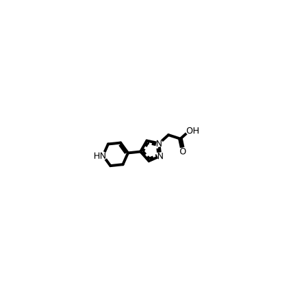 O=C(O)Cn1cc(C2=CCNCC2)cn1